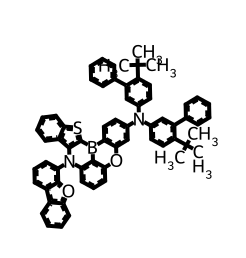 CC(C)(C)c1ccc(N(c2ccc3c(c2)Oc2cccc4c2B3c2sc3ccccc3c2N4c2cccc3c2oc2ccccc23)c2ccc(C(C)(C)C)c(-c3ccccc3)c2)cc1-c1ccccc1